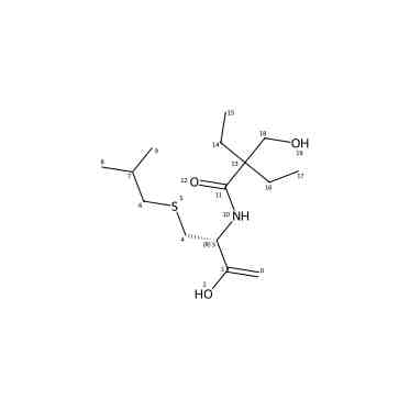 C=C(O)[C@H](CSCC(C)C)NC(=O)C(CC)(CC)CO